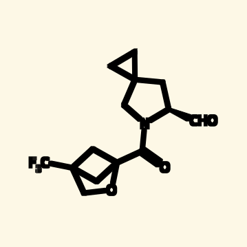 O=C[C@@H]1CC2(CC2)CN1C(=O)C12CC(C(F)(F)F)(CO1)C2